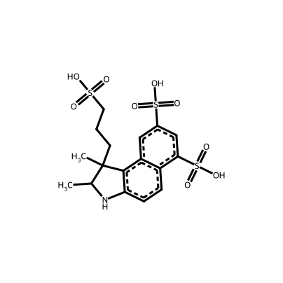 CC1Nc2ccc3c(S(=O)(=O)O)cc(S(=O)(=O)O)cc3c2C1(C)CCCS(=O)(=O)O